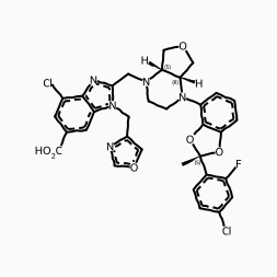 C[C@]1(c2ccc(Cl)cc2F)Oc2cccc(N3CCN(Cc4nc5c(Cl)cc(C(=O)O)cc5n4Cc4cocn4)[C@@H]4COC[C@@H]43)c2O1